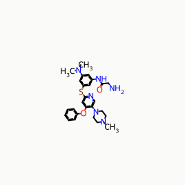 CN1CCN(c2cnc(Sc3cc(NC(=O)CN)cc(N(C)C)c3)cc2Oc2ccccc2)CC1